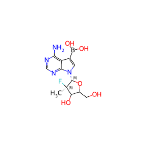 C[C@@]1(F)C(O)C(CO)O[C@H]1n1cc(B(O)O)c2c(N)ncnc21